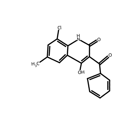 Cc1cc(Cl)c2[nH]c(=O)c(C(=O)c3ccccc3)c(O)c2c1